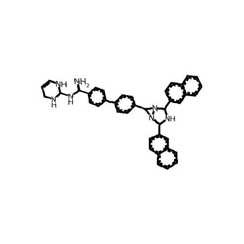 NC(NC1NC=CCN1)c1ccc(-c2ccc(C3N4C(c5ccc6ccccc6c5)NC(c5ccc6ccccc6c5)N34)cc2)cc1